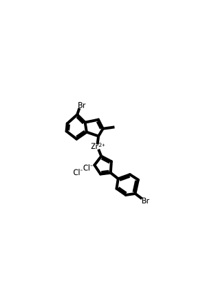 CC1=Cc2c(Br)cccc2[CH]1[Zr+2][C]1=CC(c2ccc(Br)cc2)=CC1.[Cl-].[Cl-]